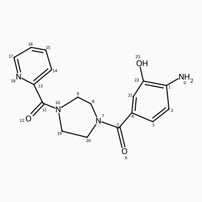 Nc1ccc(C(=O)N2CCN(C(=O)c3ccccn3)CC2)cc1O